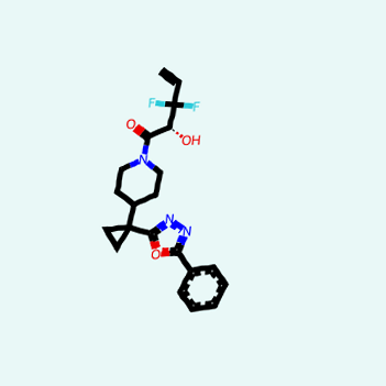 C=CC(F)(F)[C@H](O)C(=O)N1CCC(C2(c3nnc(-c4ccccc4)o3)CC2)CC1